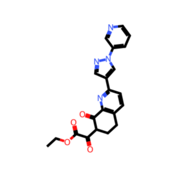 CCOC(=O)C(=O)C1CCc2ccc(-c3cnn(-c4cccnc4)c3)nc2C1=O